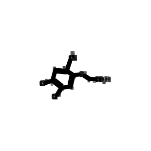 CCOC(=O)COc1cc(Cl)c(Cl)cc1C#N